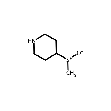 C[S+]([O-])C1CCNCC1